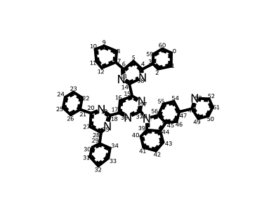 c1ccc(-c2cc(-c3ccccc3)nc(-c3cc(-c4nc(-c5ccccc5)cc(-c5ccccc5)n4)nc(-n4c5ccccc5c5cc(-c6ccccn6)ccc54)n3)n2)cc1